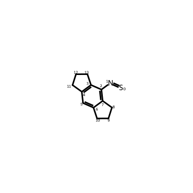 S=Nc1c2c(cc3c1CCC3)CCC2